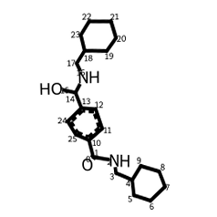 O=C(NCC1CCCCC1)c1ccc(C(O)NCC2CCCCC2)cc1